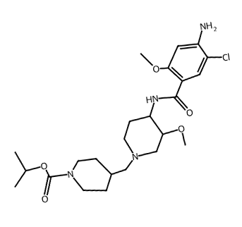 COc1cc(N)c(Cl)cc1C(=O)NC1CCN(CC2CCN(C(=O)OC(C)C)CC2)CC1OC